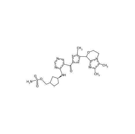 Cc1nc2n(c1C)CCOC2c1cc(C(=O)c2cncnc2N[C@H]2CCC(COS(N)(=O)=O)C2)sc1C